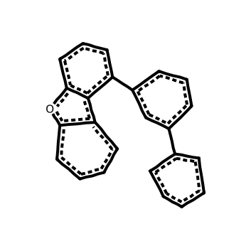 c1ccc(-c2cccc(-c3cccc4oc5ccccc5c34)c2)cc1